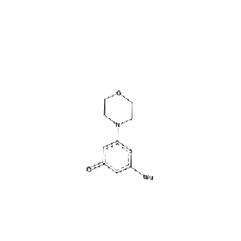 CC(C)(C)c1cc(=O)cc(N2CCOCC2)s1